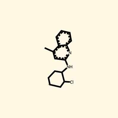 Cc1cc(NC2CC[CH]CC2Cl)nc2ccccc12